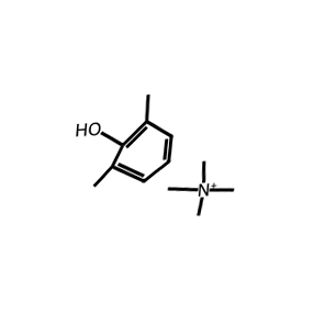 C[N+](C)(C)C.Cc1cccc(C)c1O